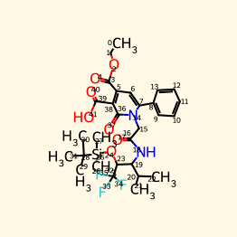 CCOC(=O)c1cc(-c2ccccc2)n(CC(=O)NC(C(C)C)C(O[Si](C)(C)C(C)(C)C)C(F)(F)F)c(=O)c1C(=O)O